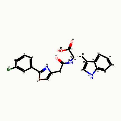 O=C(Cc1csc(-c2cccc(Br)c2)n1)N[C@@H](Cc1c[nH]c2ccccc12)C(=O)O